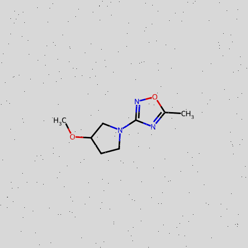 COC1CCN(c2noc(C)n2)C1